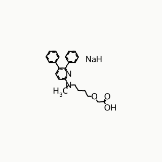 CN(CCCCOCC(=O)O)c1ccc(-c2ccccc2)c(-c2ccccc2)n1.[NaH]